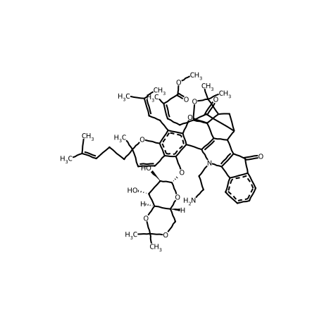 COC(=O)/C(C)=C\CC12OC(C)(C)C3CC(C1=O)C1C4=C(c5ccccc5C4=O)N(CCN)C4=C1C32Oc1c(CC=C(C)C)c2c(c(O[C@@H]3O[C@@H]5COC(C)(C)O[C@H]5[C@H](O)[C@H]3O)c14)C=CC(C)(CCC=C(C)C)O2